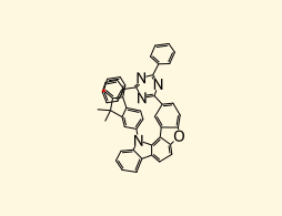 CC1(C)c2ccccc2-c2ccc(-n3c4ccccc4c4ccc5oc6ccc(-c7nc(-c8ccccc8)nc(-c8ccccc8)n7)cc6c5c43)cc21